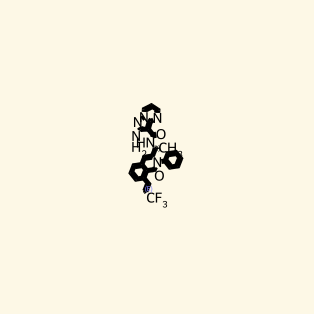 C[C@@H](NC(=O)c1c(N)nn2cccnc12)c1cc2cccc(/C=C/C(F)(F)F)c2c(=O)n1-c1ccccc1